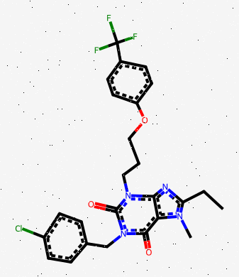 CCc1nc2c(c(=O)n(Cc3ccc(Cl)cc3)c(=O)n2CCCOc2ccc(C(F)(F)F)cc2)n1C